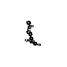 N#Cc1ccc(NS(=O)(=O)c2ccc(-c3ccc4c(c3)CC[C@H](CNC[C@H](O)c3cccnc3)O4)cc2OC(F)(F)F)cc1